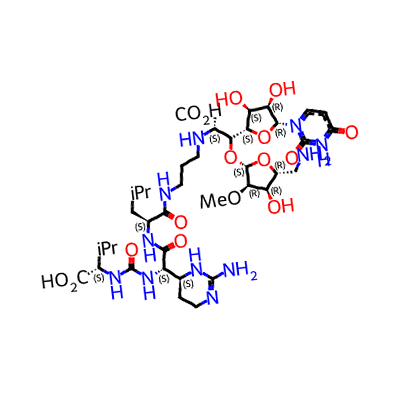 CO[C@H]1[C@H](OC([C@H](NCCCNC(=O)[C@H](CC(C)C)NC(=O)[C@@H](NC(=O)N[C@H](C(=O)O)C(C)C)[C@@H]2CCN=C(N)N2)C(=O)O)[C@H]2O[C@@H](n3ccc(=O)[nH]c3=O)[C@H](O)[C@@H]2O)O[C@H](CN)[C@H]1O